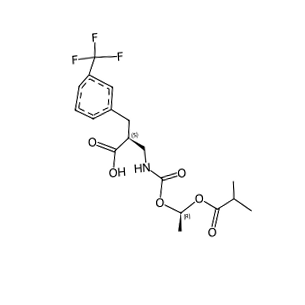 CC(C)C(=O)O[C@@H](C)OC(=O)NC[C@H](Cc1cccc(C(F)(F)F)c1)C(=O)O